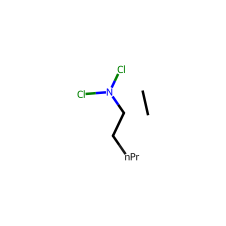 CC.CCCCCN(Cl)Cl